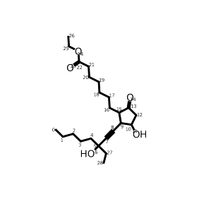 CCCCCC(O)(C#CC1C(O)CC(=O)C1CCCCCCC(=O)OCC)CC